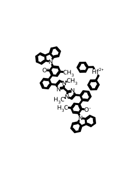 Cc1cc(-c2ccccc2-c2cn(C)c(-c3nc(-c4ccccc4-c4cc(C)cc(-n5c6ccccc6c6ccccc65)c4[O-])cn3C)n2)c([O-])c(-n2c3ccccc3c3ccccc32)c1.c1ccc([CH2][Hf+2][CH2]c2ccccc2)cc1